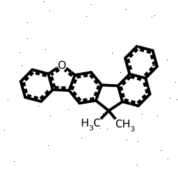 CC1(C)c2cc3c(cc2-c2c1ccc1ccccc21)oc1ccccc13